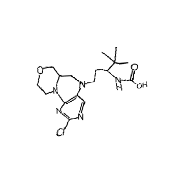 CC(C)(C)C(CCN1CC2COCCN2c2nc(Cl)ncc21)NC(=O)O